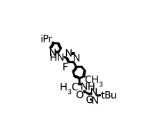 CC1=CCC(c2ncnc(Nc3ccc(C(C)C)cn3)c2F)=CC=C1C(C)NC(=O)c1nc(C(C)(C)C)no1